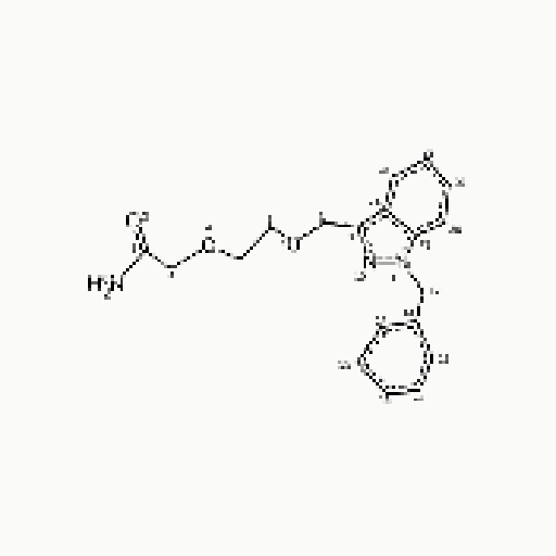 NC(=O)COCCOCc1nn(Cc2ccccc2)c2ccccc12